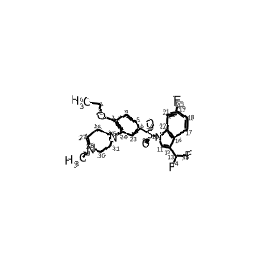 CCOc1ccc(S(=O)(=O)n2cc(C(F)F)c3ccc(F)cc32)cc1N1CCN(C)CC1